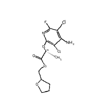 C[C@@H](Oc1nc(F)c(Cl)c(N)c1Cl)C(=O)OCC1CCCO1